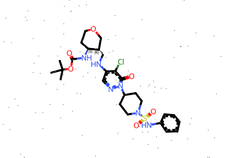 CC(C)(C)OC(=O)N[C@H]1CCOC[C@@H]1CNc1cnn(C2CCN(S(=O)(=O)Nc3ccccc3)CC2)c(=O)c1Cl